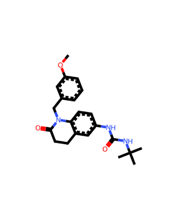 COc1cccc(CN2C(=O)CCc3cc(NC(=O)NC(C)(C)C)ccc32)c1